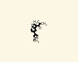 CC(C)C(=O)c1cnn2ccc(-c3cnn(C)c3)cc12